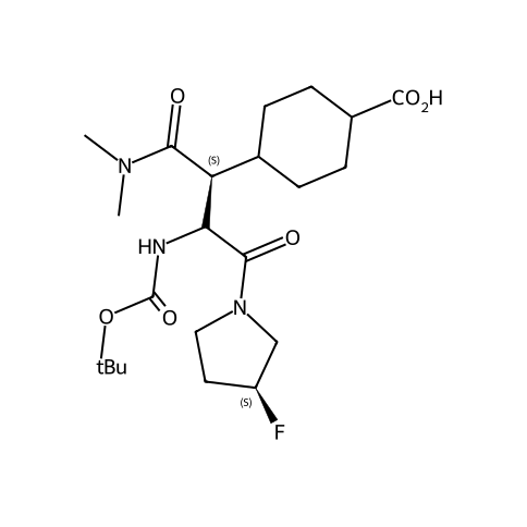 CN(C)C(=O)[C@@H](C1CCC(C(=O)O)CC1)C(NC(=O)OC(C)(C)C)C(=O)N1CC[C@H](F)C1